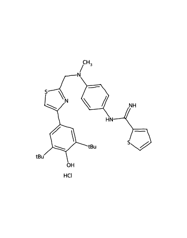 CN(Cc1nc(-c2cc(C(C)(C)C)c(O)c(C(C)(C)C)c2)cs1)c1ccc(NC(=N)c2cccs2)cc1.Cl